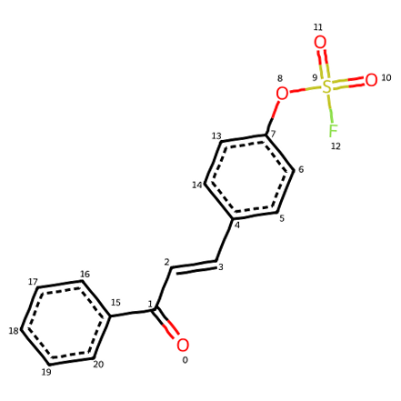 O=C(/C=C/c1ccc(OS(=O)(=O)F)cc1)c1ccccc1